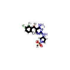 COc1ccc(F)c(F)c1C(=S)c1cnc(NC2CCN(S(C)(=O)=O)C2)nc1N